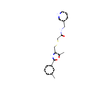 Cc1cccc(-c2nc(CSCC(=O)NCc3cccnc3)c(C)o2)c1